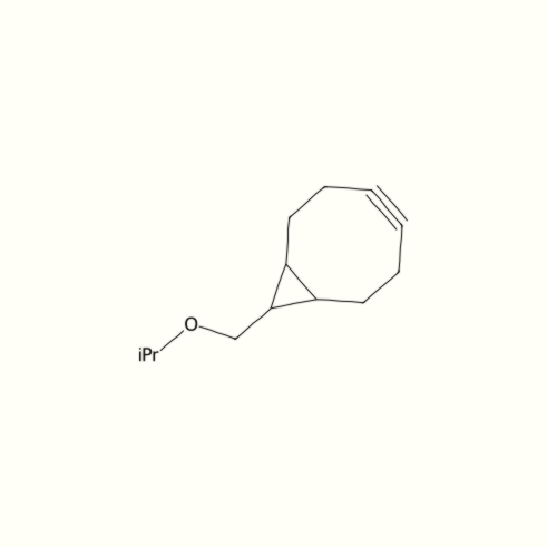 CC(C)OCC1C2CCC#CCCC21